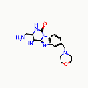 N=c1/c(=C\N)[nH]c(=O)n2c1nc1cc(CN3CCOCC3)ccc12